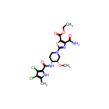 CCOC(=O)c1sc(N2CC[C@@H](NC(=O)c3[nH]c(C)c(Cl)c3Cl)[C@@H](OC)C2)nc1C(N)=O